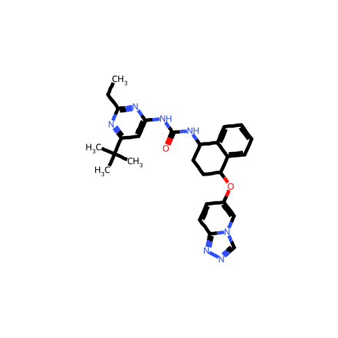 CCc1nc(NC(=O)NC2CCC(Oc3ccc4nncn4c3)c3ccccc32)cc(C(C)(C)C)n1